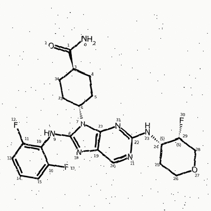 NC(=O)[C@H]1CC[C@H](n2c(Nc3c(F)cccc3F)nc3cnc(N[C@H]4CCOC[C@H]4F)nc32)CC1